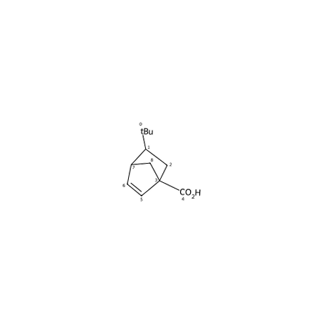 CC(C)(C)C1CC2(C(=O)O)C=CC1C2